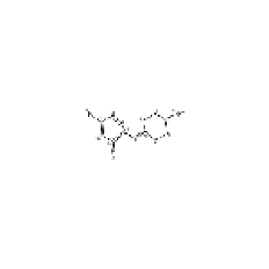 CC(C)C1CCC(=Cc2ccc(F)cc2F)CC1